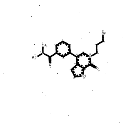 CN(C)C(=O)c1cccc(-c2cn(CCCO)c(=O)c3[nH]ccc23)c1